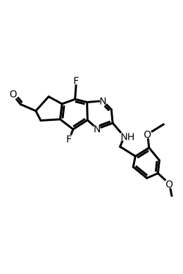 COc1ccc(CNc2cnc3c(F)c4c(c(F)c3n2)CC(C=O)C4)c(OC)c1